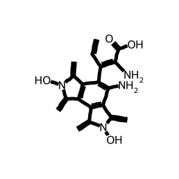 C=CC(=C(N)C(=O)O)c1c(N)c2c(=C)n(O)c(=C)c2c2c(=C)n(O)c(=C)c12